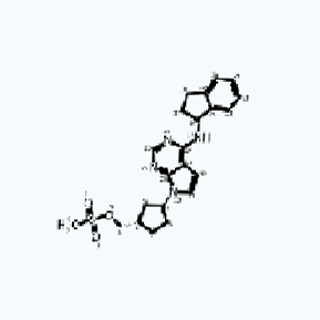 CS(=O)(=O)OC[C@H]1CC[C@H](n2ccc3c(N[C@H]4CCc5ccccc54)ncnc32)C1